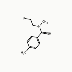 Cc1ccc(C(=N)N(C)CCF)cc1